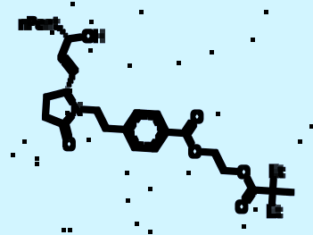 CCCCC[C@H](O)/C=C/[C@H]1CCC(=O)N1CCc1ccc(C(=O)OCCOC(=O)C(C)(CC)CC)cc1